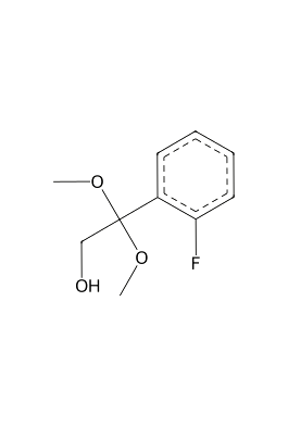 COC(CO)(OC)c1ccccc1F